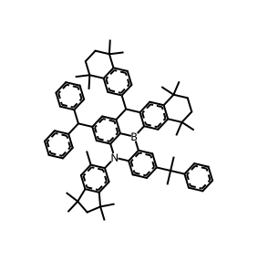 Cc1cc2c(cc1N1c3ccc(C(C)(C)c4ccccc4)cc3B3c4cc5c(cc4C(c4ccc6c(c4)C(C)(C)CCC6(C)C)c4cc(C(c6ccccc6)c6ccccc6)cc1c43)C(C)(C)CCC5(C)C)C(C)(C)CC2(C)C